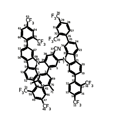 Cc1cc(-c2cc(-n3c4cc(-c5ccc(C(F)(F)F)cc5C(F)(F)F)ccc4c4ccc(-c5ccc(C(F)(F)F)cc5C(F)(F)F)cc43)c(C#N)cc2-n2c3cc(-c4ccc(C(F)(F)F)cc4C(F)(F)F)ccc3c3ccc(-c4ccc(C(F)(F)F)cc4C(F)(F)F)cc32)cc(C)n1